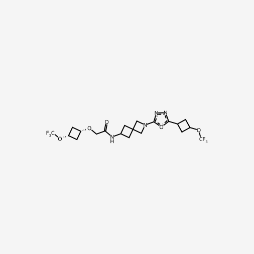 O=C(CO[C@H]1C[C@@H](OC(F)(F)F)C1)NC1CC2(C1)CN(c1nnc(C3CC(OC(F)(F)F)C3)o1)C2